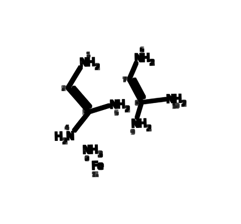 N.NC=C(N)N.NC=C(N)N.[Fe]